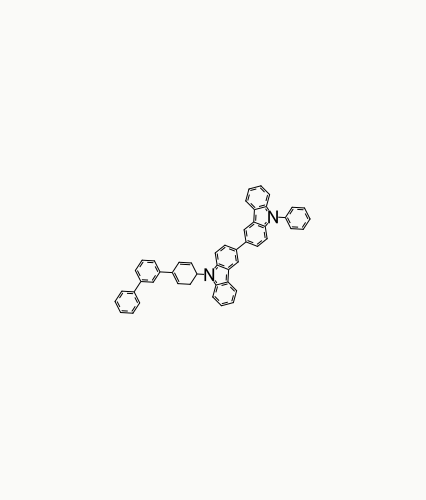 C1=CC(n2c3ccccc3c3cc(-c4ccc5c(c4)c4ccccc4n5-c4ccccc4)ccc32)CC=C1c1cccc(-c2ccccc2)c1